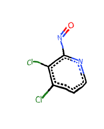 O=Nc1nccc(Cl)c1Cl